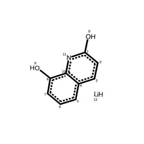 Oc1ccc2cccc(O)c2n1.[LiH]